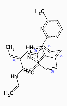 C=CNC(=O)C(/C=C1/C=C/C=C(c2cn[nH]c2-c2cccc(C)n2)/C=C\C1=C)=C/C